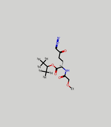 [2H]C([2H])([2H])C(OC(=O)[C@H](CCC(=O)C=[N+]=[N-])NC(=O)COCC)C([2H])([2H])[2H]